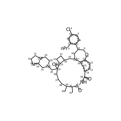 CCCc1cc(Cl)ccc1C1COc2ccc3cc2N(C1)CC1CCC1C(O)(CN1CCN2CCN=C2C1)CCCC(C)C(C)[S+]([O-])NC3=O